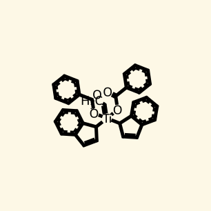 C[CH]=[Ti]([O]C(=O)c1ccccc1)([O]C(=O)c1ccccc1)([CH]1C=Cc2ccccc21)[CH]1C=Cc2ccccc21